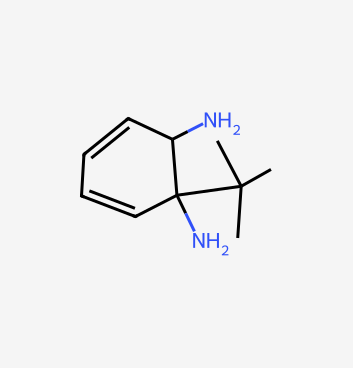 CC(C)(C)C1(N)C=CC=CC1N